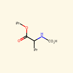 CC(C)OC(=O)C(NC(=O)O)C(C)C